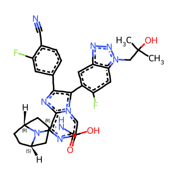 CC(C)(O)Cn1nnc2cc(-c3c(-c4ccc(C#N)c(F)c4)nc4c(N5[C@@H]6CC[C@H]5C[C@@H](NC(=O)O)C6)nccn34)c(F)cc21